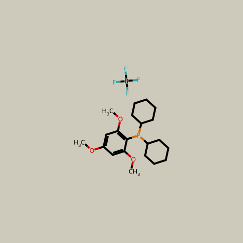 COc1cc(OC)c(P(C2CCCCC2)C2CCCCC2)c(OC)c1.F[B-](F)(F)F